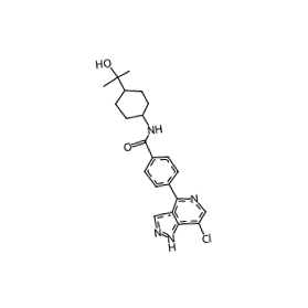 CC(C)(O)C1CCC(NC(=O)c2ccc(-c3ncc(Cl)c4[nH]ncc34)cc2)CC1